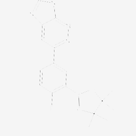 CC1(C)OB(c2cc(-c3cc4nc[nH]c4nn3)ccc2F)OC1(C)C